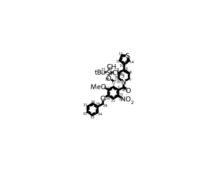 COc1cc(C(=O)N2CC=C(c3ccsc3)C[C@H]2CO[Si](C)(C)C(C)(C)C)c([N+](=O)[O-])cc1OCc1ccccc1